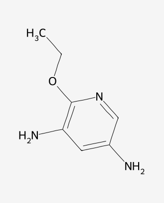 CCOc1ncc(N)cc1N